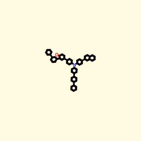 c1ccc(-c2ccc(-c3ccc(N(c4ccc(-c5ccc6ccccc6c5)cc4)c4ccc(-c5ccc6oc7c(-c8ccccc8)cccc7c6c5)cc4)cc3)cc2)cc1